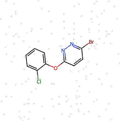 Clc1ccccc1Oc1ccc(Br)nn1